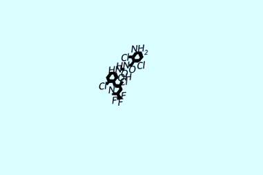 Nc1ccc(Cl)c(C(=O)NC(=O)Nc2ccc(Cl)c(-c3ncc(C(F)(F)F)cc3Cl)c2O)c1Cl